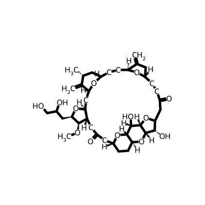 C=C1C[C@@H]2CCC(=O)CC3O[C@H]4[C@@H](O)[C@H]5O[C@H](CC[C@@H]5O[C@H]4[C@H]3O)CC(=O)C[C@@H]3[C@@H](OC)[C@@H](CC(O)CO)O[C@H]3C[C@H]3O[C@@H](CC[C@@H]1O2)C[C@@H](C)C3=C